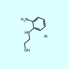 Nc1ccccc1NCCO.[Ar]